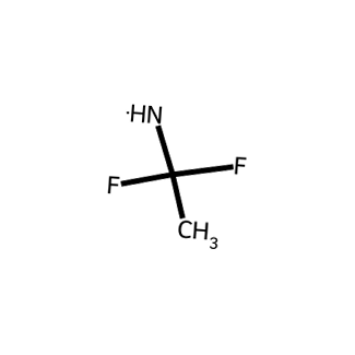 CC([NH])(F)F